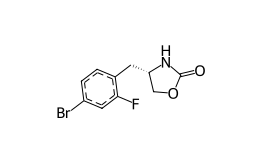 O=C1N[C@@H](Cc2ccc(Br)cc2F)CO1